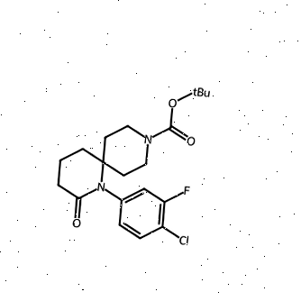 CC(C)(C)OC(=O)N1CCC2(CCCC(=O)N2c2ccc(Cl)c(F)c2)CC1